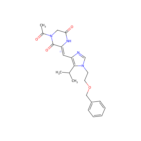 CC(=O)N1CC(=O)N/C(=C\c2ncn(CCOCc3ccccc3)c2C(C)C)C1=O